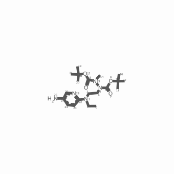 CCN(CCN(C(=O)OC(C)(C)C)N(C)C(=O)OC(C)(C)C)c1ccc(N)cn1